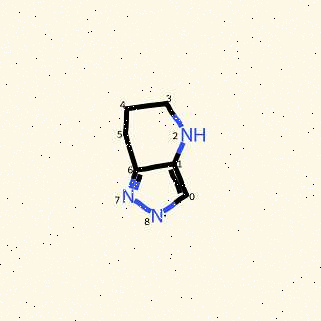 C1=C2NCCCC2=N[N]1